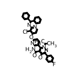 CC(C)n1nc(-c2ccc(F)cc2)c(=O)c(C(N)=O)c1-c1ccc(Oc2ccnc(N=C(c3ccccc3)c3ccccc3)c2Cl)nc1